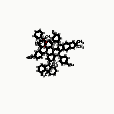 CC1(C)Cc2cc3c4c(n(-c5ccc(F)cc5)c3cc2C1)B1c2ccc(C(C)(C)c3ccccc3)cc2N(c2ccc(C(C)(C)C)cc2-c2ccccc2)c2cc(N3c5ccccc5C5(C)CCCCC35C)cc(c21)N4c1ccc(C(C)(C)C)cc1